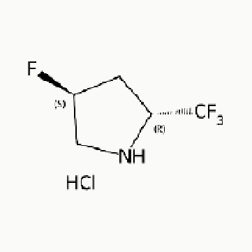 Cl.F[C@@H]1CN[C@@H](C(F)(F)F)C1